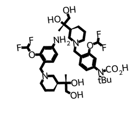 CC(C)(C)N(C(=O)O)c1ccc(CN2CCC[C@H]([C@](C)(O)CO)C2)c(OC(F)F)c1.C[C@@](O)(CO)[C@H]1CCCN(Cc2ccc(N)cc2OC(F)F)C1